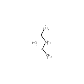 CC[SiH2]CC.Cl